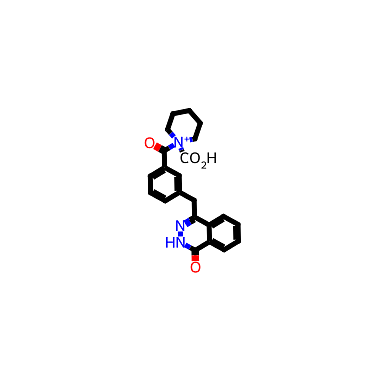 O=C(O)[N+]1(C(=O)c2cccc(Cc3n[nH]c(=O)c4ccccc34)c2)CCCCC1